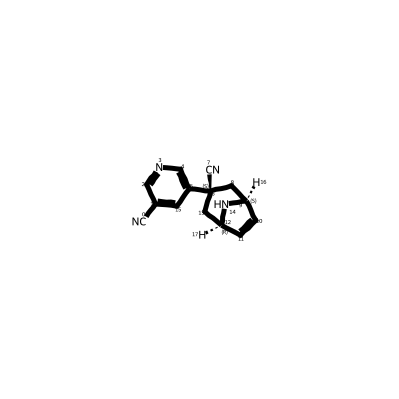 N#Cc1cncc([C@]2(C#N)C[C@H]3C=C[C@@H](C2)N3)c1